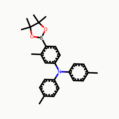 Cc1ccc(N(c2ccc(C)cc2)c2ccc(B3OC(C)(C)C(C)(C)O3)c(C)c2)cc1